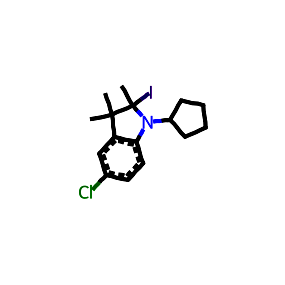 CC1(C)c2cc(Cl)ccc2N(C2CCCC2)C1(C)I